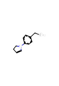 CCC(C)Cc1ccc(N2C=CCC2)cc1